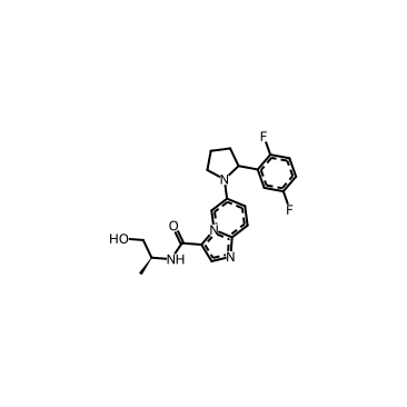 C[C@@H](CO)NC(=O)c1cnc2ccc(N3CCCC3c3cc(F)ccc3F)cn12